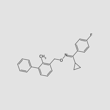 Cc1c(CO/N=C(/c2ccc(F)cc2)C2CC2)cccc1-c1ccccc1